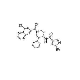 CC(C)n1cc(C(=O)N[C@@H]2CCN(C(=O)c3cc(Cl)c4nccnc4c3)C[C@@H]2c2ccccc2)cn1